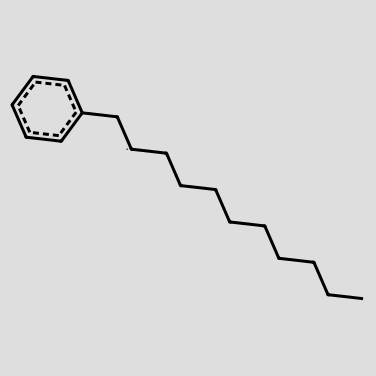 CCCCCCCCC[CH]Cc1ccccc1